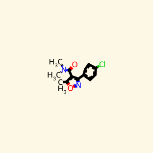 Cc1onc(-c2ccc(Cl)cc2)c1C(=O)N(C)C